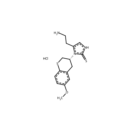 COc1ccc2c(c1)C[C@@H](n1c(CCN)c[nH]c1=S)CS2.Cl